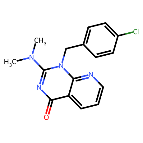 CN(C)c1nc(=O)c2cccnc2n1Cc1ccc(Cl)cc1